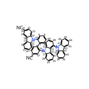 N#Cc1ccc(-c2ccccc2-n2c3ccccc3c3cc(C#N)ccc32)c(-n2c3ccccc3c3c(-n4c5ccccc5c5ccccc54)cccc32)c1